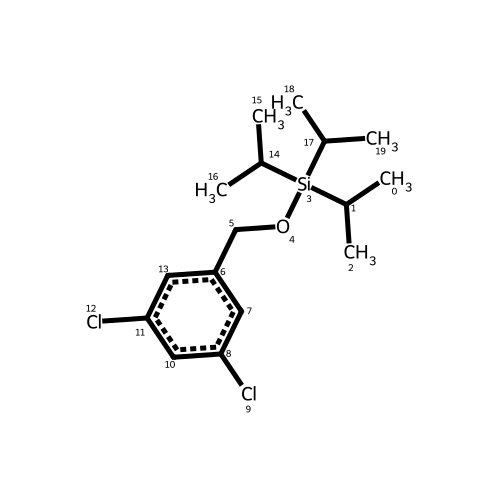 CC(C)[Si](OCc1cc(Cl)cc(Cl)c1)(C(C)C)C(C)C